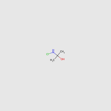 CC(C)(O)NCl